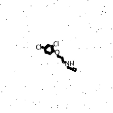 C#CCNCCCOc1ccc(Cl)cc1Cl